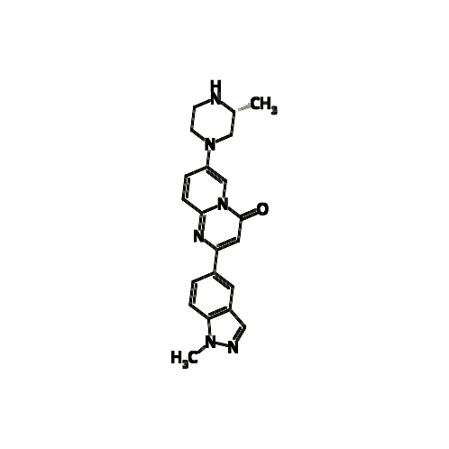 C[C@@H]1CN(c2ccc3nc(-c4ccc5c(cnn5C)c4)cc(=O)n3c2)CCN1